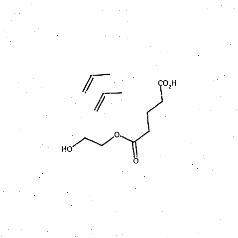 C=CC.C=CC.O=C(O)CCCC(=O)OCCO